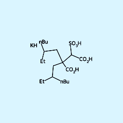 CCCCC(CC)CC(CC(CC)CCCC)(C(=O)O)C(C(=O)O)S(=O)(=O)O.[KH]